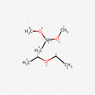 CCOCC.CO[SiH](C)OC